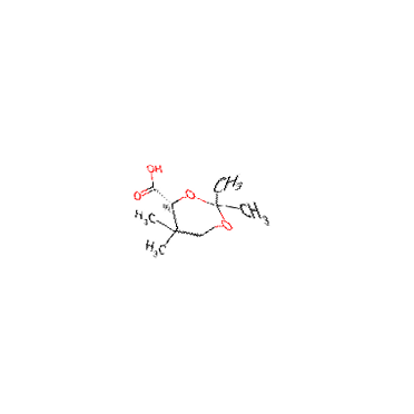 CC1(C)OCC(C)(C)[C@H](C(=O)O)O1